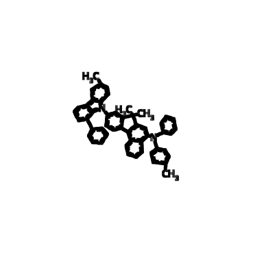 Cc1ccc(N(c2ccccc2)c2cc3c(c4ccccc24)-c2ccc(-n4c5ccc(C)cc5c5cccc(-c6ccccc6)c54)cc2C3(C)C)cc1